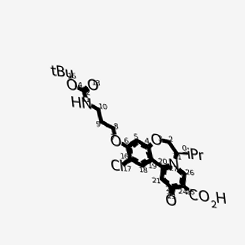 CC(C)[C@@H]1COc2cc(OCCCNC(=O)OC(C)(C)C)c(Cl)cc2-c2cc(=O)c(C(=O)O)cn21